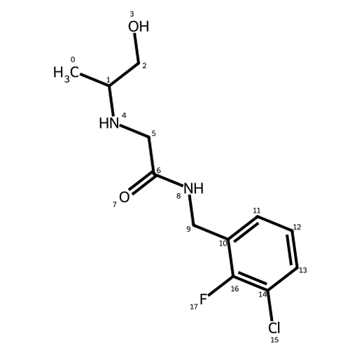 CC(CO)NCC(=O)NCc1cccc(Cl)c1F